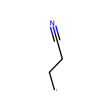 [CH]CCC#N